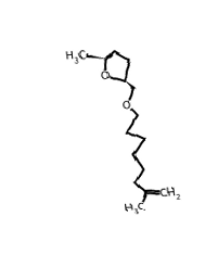 C=C(C)CCCCCCOC[C@@H]1CC[C@H](C)O1